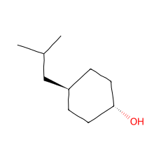 CC(C)C[C@H]1CC[C@H](O)CC1